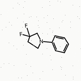 FC1(F)CCN(c2ccccc2)C1